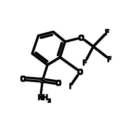 NS(=O)(=O)c1cccc(OC(F)(F)F)c1OI